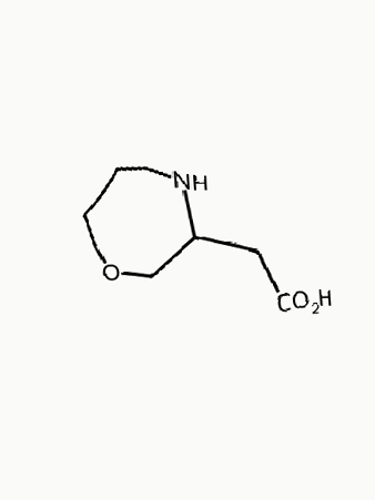 O=C(O)CC1COCCN1